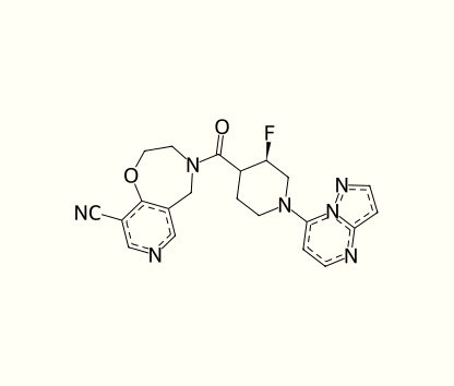 N#Cc1cncc2c1OCCN(C(=O)C1CCN(c3ccnc4ccnn34)C[C@@H]1F)C2